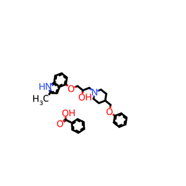 Cc1cc2c(OCC(O)CN3CCC(COc4ccccc4)CC3)cccc2[nH]1.O=C(O)c1ccccc1